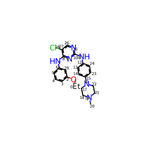 CCOc1cccc(Nc2nc(Nc3ccc(N4CCN(C)CC4)cc3)ncc2Cl)c1